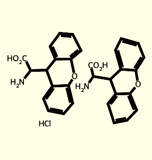 Cl.NC(C(=O)O)C1c2ccccc2Oc2ccccc21.NC(C(=O)O)C1c2ccccc2Oc2ccccc21